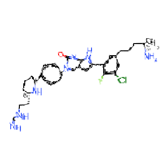 C[C@H](N)CCCc1cc(Cl)c(F)c(-c2cc3cn(-c4ccc([C@@H]5CCC[C@@H](CCNC=N)N5)cc4)c(=O)nc3[nH]2)c1